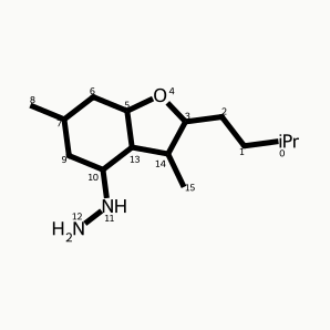 CC(C)CCC1OC2CC(C)CC(NN)C2C1C